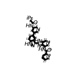 CC(C)CC(=O)Nc1cncc(-c2ccc3[nH]nc(-c4nc5c(NC(=O)c6ccccn6)cncc5[nH]4)c3c2)c1